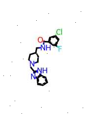 O=C(NCC1CCN(Cc2nc3ccccc3[nH]2)CC1)c1cc(F)cc(Cl)c1